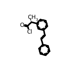 C[C@@H](C(=O)Cl)c1cccc(C=Cc2ccccc2)c1